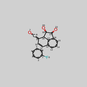 Fc1ccccc1.O=C=C1C=Cc2cccc3c2C1C(=O)C3=O